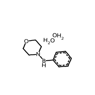 B(c1ccccc1)N1CCOCC1.O.O